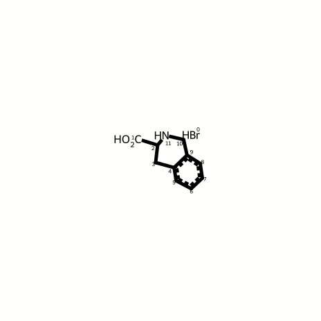 Br.O=C(O)C1Cc2ccccc2CN1